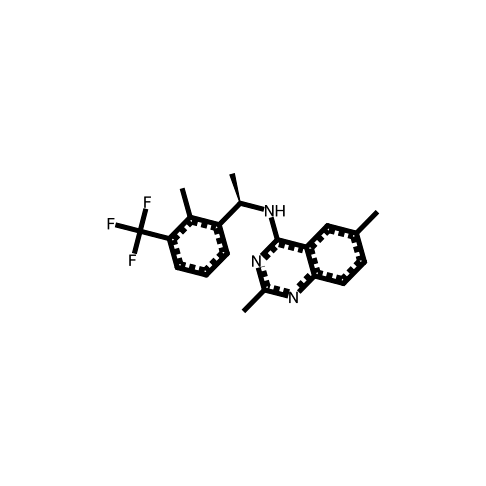 Cc1ccc2nc(C)nc(N[C@H](C)c3cccc(C(F)(F)F)c3C)c2c1